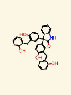 O=C1Nc2ccccc2C1(c1ccc(O)c(Cc2ccccc2O)c1)c1ccc(O)c(Cc2ccccc2O)c1